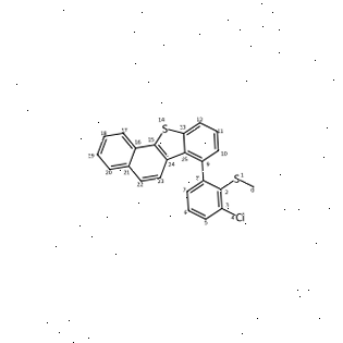 CSc1c(Cl)cccc1-c1cccc2sc3c4ccccc4ccc3c12